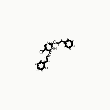 ClC1=[C]N=C(OCCc2ccccc2)N[C@H]1OCCc1ccccc1